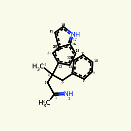 CC(=N)CC(C)(Cc1ccccc1)c1ccc2[nH]ccc2c1